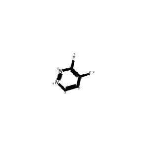 Fc1[c]cnnc1F